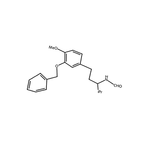 COc1ccc(CCC(NC=O)C(C)C)cc1OCc1ccccc1